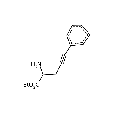 CCOC(=O)C(N)CC#Cc1ccccc1